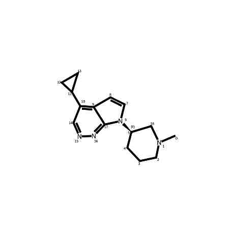 CN1CCC[C@@H](n2ccc3c(C4CC4)cnnc32)C1